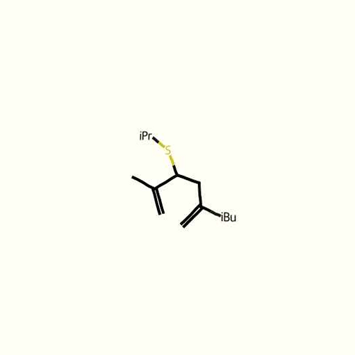 C=C(CC(SC(C)C)C(=C)C)C(C)CC